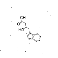 O=C(O)CC(O)Cn1ccc2ccccc21